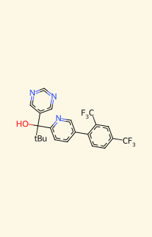 CC(C)(C)C(O)(c1cncnc1)c1ccc(-c2ccc(C(F)(F)F)cc2C(F)(F)F)cn1